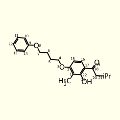 Cc1c(OCCCCOc2ccccc2)ccc(C(=O)CC(C)C)c1O